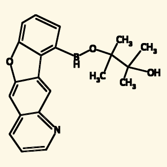 CC(C)(O)C(C)(C)OBc1cccc2oc3cc4cccnc4cc3c12